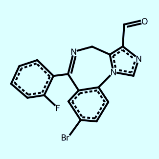 O=Cc1ncn2c1CN=C(c1ccccc1F)c1cc(Br)ccc1-2